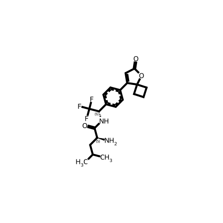 CC(C)C[C@H](N)C(=O)N[C@@H](c1ccc(C2=CC(=O)OC23CCC3)cc1)C(F)(F)F